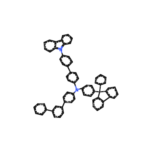 c1ccc(-c2cccc(-c3ccc(N(c4ccc(-c5ccc(-n6c7ccccc7c7ccccc76)cc5)cc4)c4ccc(C5(c6ccccc6)c6ccccc6-c6ccccc65)cc4)cc3)c2)cc1